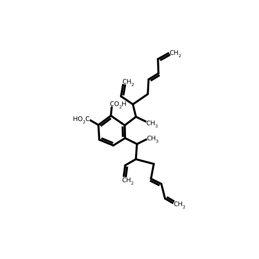 C=C/C=C/CC(C=C)C(C)c1ccc(C(=O)O)c(C(=O)O)c1C(C)C(C=C)C/C=C/C=C